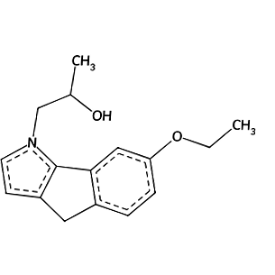 CCOc1ccc2c(c1)-c1c(ccn1CC(C)O)C2